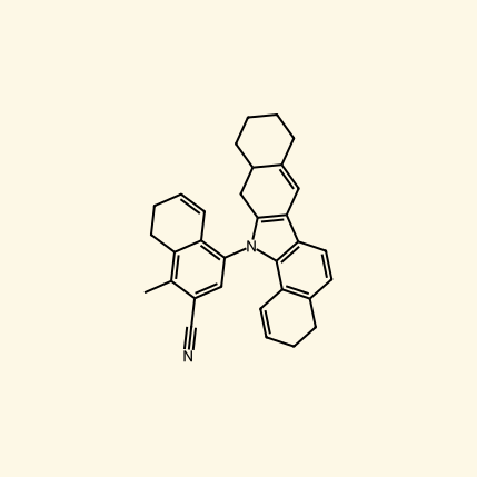 Cc1c(C#N)cc(-n2c3c(c4ccc5c(c42)C=CCC5)C=C2CCCCC2C3)c2c1CCC=C2